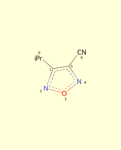 CC(C)c1nonc1C#N